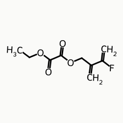 C=C(F)C(=C)COC(=O)C(=O)OCC